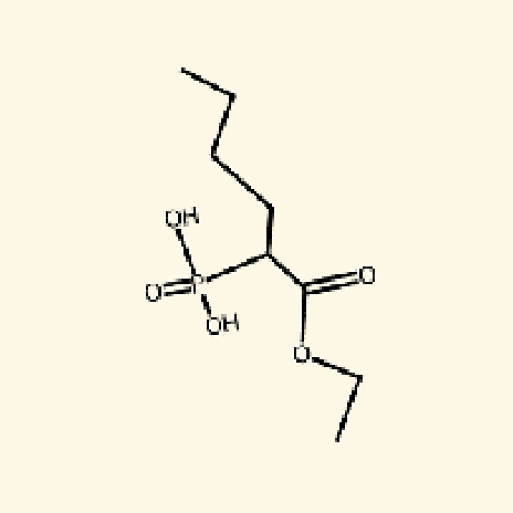 CCCCC(C(=O)OCC)P(=O)(O)O